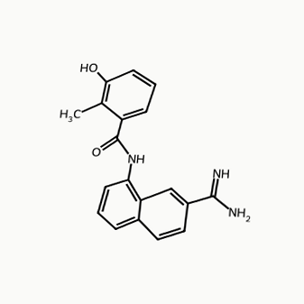 Cc1c(O)cccc1C(=O)Nc1cccc2ccc(C(=N)N)cc12